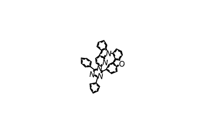 c1ccc(-c2nc(-c3ccccc3)nc(-c3ccc4oc5cccc(-n6c7ccccc7c7cccnc76)c5c4c3)n2)cc1